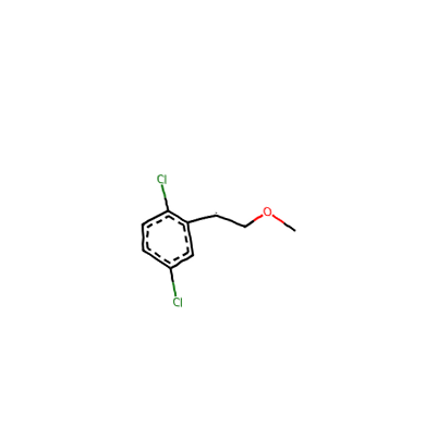 COC[CH]c1cc(Cl)ccc1Cl